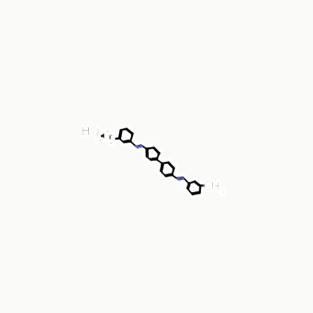 Cc1cccc(/C=C/c2ccc(-c3ccc(/C=C/c4cccc(SOOO)c4)cc3)cc2)c1